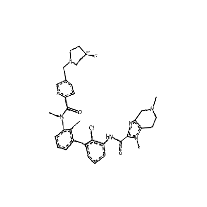 Cc1c(-c2cccc(NC(=O)c3nc4c(n3C)CCN(C)C4)c2Cl)cccc1N(C)C(=O)c1ccc(CN2CC[C@@H](F)C2)cn1